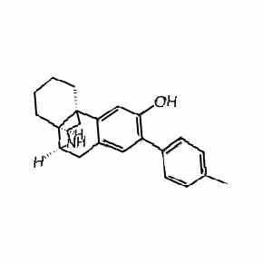 Cc1ccc(-c2cc3c(cc2O)[C@]24CCCC[C@@H]2[C@H](C3)NCC4)cc1